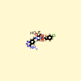 Nc1ncnc2cc(CN3CCN(S(=O)(=O)c4cc5ccc(Cl)cc5s4)C(CC(=O)O)C3=O)ccc12